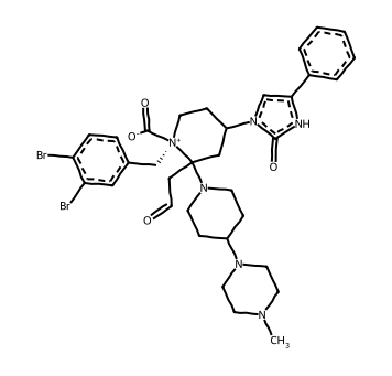 CN1CCN(C2CCN(C3(CC=O)CC(n4cc(-c5ccccc5)[nH]c4=O)CC[N@+]3(Cc3ccc(Br)c(Br)c3)C(=O)[O-])CC2)CC1